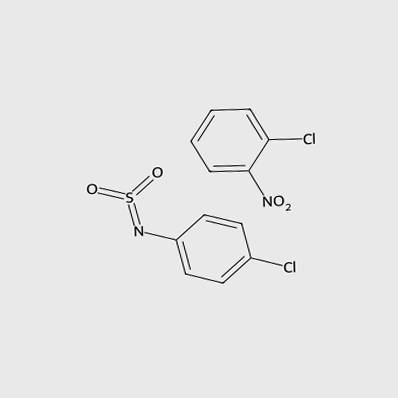 O=S(=O)=Nc1ccc(Cl)cc1.O=[N+]([O-])c1ccccc1Cl